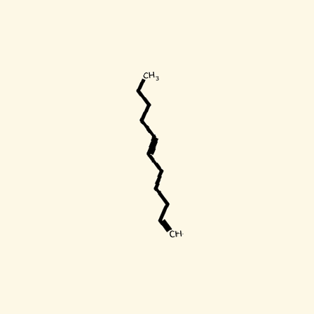 [CH]=CCCCC=CCCCC